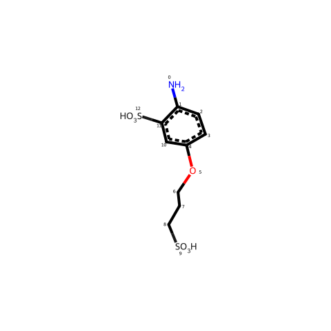 Nc1ccc(OCCCS(=O)(=O)O)cc1S(=O)(=O)O